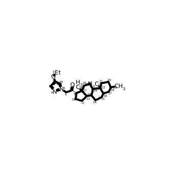 CCOc1cnn(CC(=O)[C@H]2CCC3C4CCC5CC(C)CCC5(C)C4CCC32C)c1